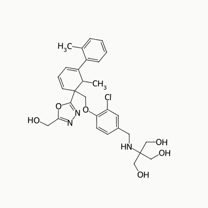 Cc1ccccc1C1=CC=CC(COc2ccc(CNC(CO)(CO)CO)cc2Cl)(c2nnc(CO)o2)C1C